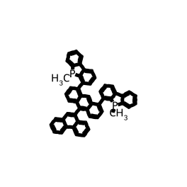 Cp1c2ccccc2c2cccc(-c3cccc4c(-c5cc6ccccc6c6ccccc56)c5cccc(-c6cccc7c8ccccc8p(C)c67)c5cc34)c21